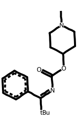 CN1CCC(OC(=O)/N=C(\c2ccccc2)C(C)(C)C)CC1